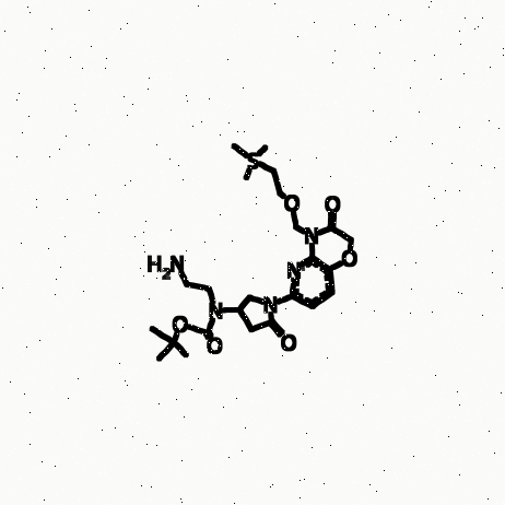 CC(C)(C)OC(=O)N(CCN)C1CC(=O)N(c2ccc3c(n2)N(COCCS(C)(C)C)C(=O)CO3)C1